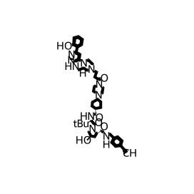 C#Cc1ccc(CNC(=O)[C@@H]2C[C@@H](O)CN2C(=O)[C@@H](NC(=O)[C@H]2CC[C@@H](N3CCN(C(=O)CCN4CCN5c6cc(-c7ccccc7O)nnc6NC[C@H]5C4)CC3)CC2)C(C)(C)C)cc1